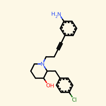 Nc1cccc(C#CCCN2CCCC(O)C2Cc2ccc(Cl)cc2)c1